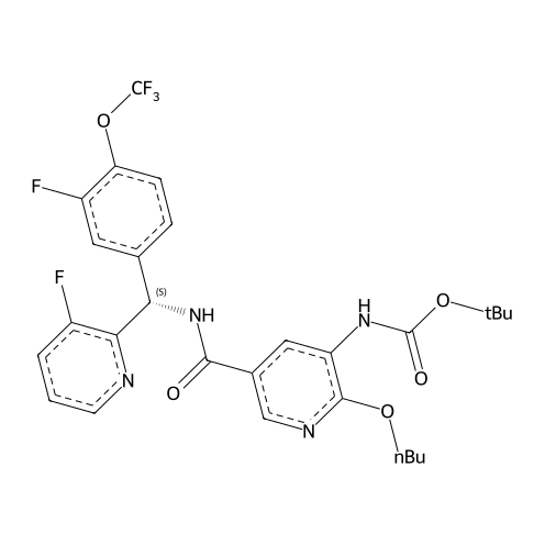 CCCCOc1ncc(C(=O)N[C@@H](c2ccc(OC(F)(F)F)c(F)c2)c2ncccc2F)cc1NC(=O)OC(C)(C)C